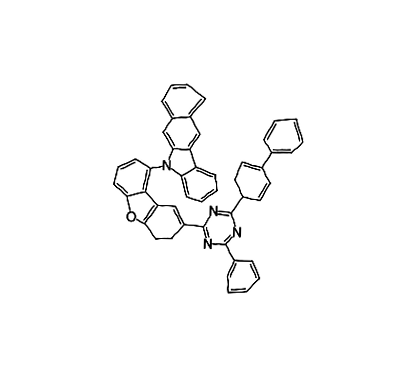 C1=CC(c2nc(C3=Cc4c(oc5cccc(-n6c7ccccc7c7cc8ccccc8cc76)c45)CC3)nc(-c3ccccc3)n2)CC=C1c1ccccc1